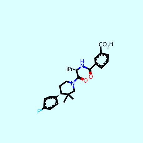 CC(C)[C@@H](NC(=O)c1cccc(C(=O)O)c1)C(=O)N1CC[C@@H](c2ccc(F)cc2)C(C)(C)C1